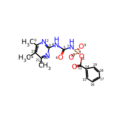 Cc1nc(NC(=O)NS(=O)(=O)OC(=O)c2ccccc2)nc(C)c1C